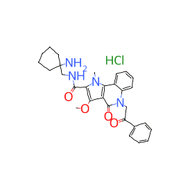 COc1c(C(=O)NCC2(N)CCCCC2)n(C)c2c1c(=O)n(CC(=O)c1ccccc1)c1ccccc21.Cl